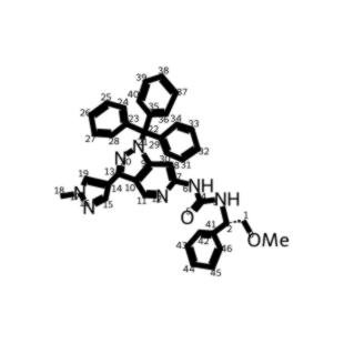 COC[C@@H](NC(=O)Nc1cc2c(cn1)c(-c1cnn(C)c1)nn2C(c1ccccc1)(c1ccccc1)c1ccccc1)c1ccccc1